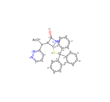 CC(=O)OC(c1cccnn1)C1C(=O)NC1SC(c1ccccc1)(c1ccccc1)c1ccccc1